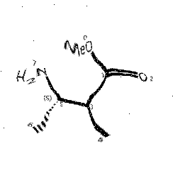 COC(=O)C(C)[C@H](C)N